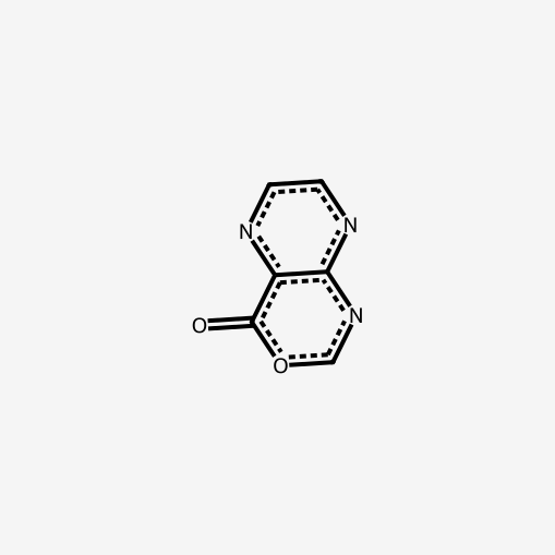 O=c1ocnc2nccnc12